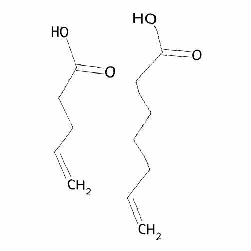 C=CCCC(=O)O.C=CCCCCC(=O)O